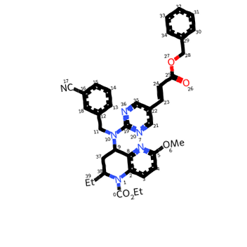 CCOC(=O)N1c2ccc(OC)nc2C(N(Cc2cccc(C#N)c2)c2ncc(/C=C/C(=O)OCc3ccccc3)cn2)CC1CC